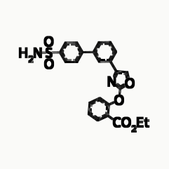 CCOC(=O)c1ccccc1Oc1nc(-c2cccc(-c3ccc(S(N)(=O)=O)cc3)c2)co1